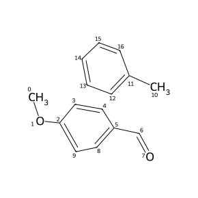 COc1ccc(C=O)cc1.Cc1ccccc1